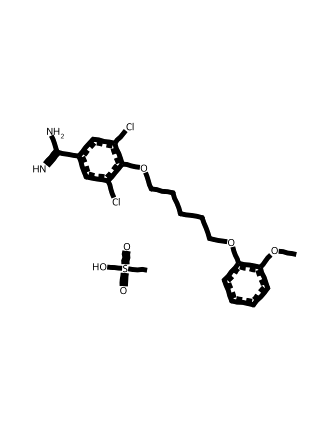 COc1ccccc1OCCCCCOc1c(Cl)cc(C(=N)N)cc1Cl.CS(=O)(=O)O